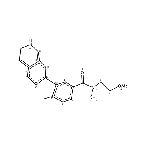 COCCN(N)C(=O)c1ccc(C)c(-c2ccc3c(c2)=CNCC=3)c1